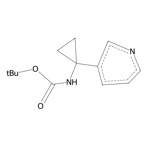 CC(C)(C)OC(=O)NC1(c2cccnc2)CC1